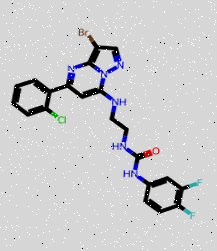 O=C(NCCNc1cc(-c2ccccc2Cl)nc2c(Br)cnn12)Nc1ccc(F)c(F)c1